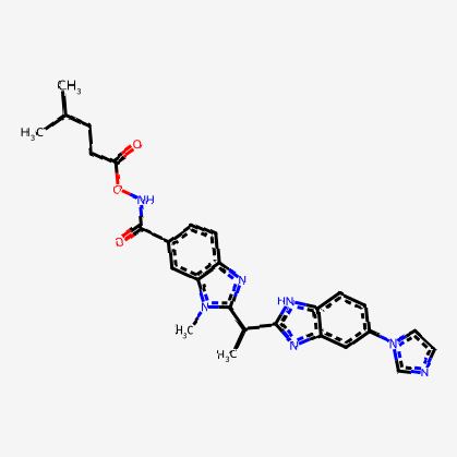 CC(C)CCC(=O)ONC(=O)c1ccc2nc(C(C)c3nc4cc(-n5ccnc5)ccc4[nH]3)n(C)c2c1